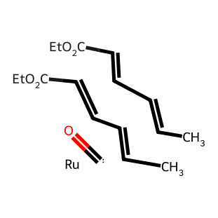 CC=CC=CC(=O)OCC.CC=CC=CC(=O)OCC.[C]=O.[Ru]